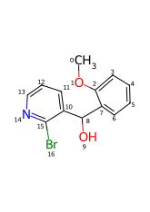 COc1ccccc1C(O)c1cccnc1Br